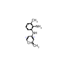 C=C/C=C(\C=C/C)Nc1cccc(C)c1N